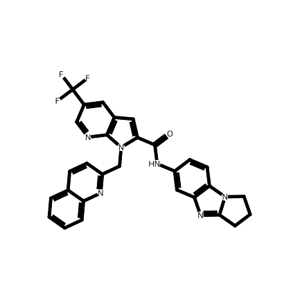 O=C(Nc1ccc2c(c1)nc1n2CCC1)c1cc2cc(C(F)(F)F)cnc2n1Cc1ccc2ccccc2n1